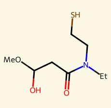 CCN(CCS)C(=O)CC(O)OC